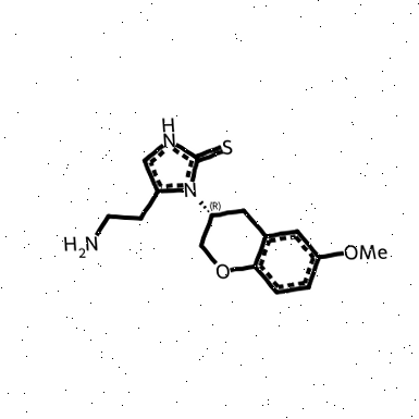 COc1ccc2c(c1)C[C@@H](n1c(CCN)c[nH]c1=S)CO2